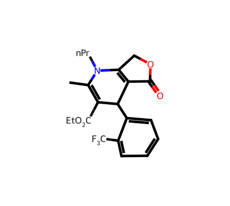 CCCN1C(C)=C(C(=O)OCC)C(c2ccccc2C(F)(F)F)C2=C1COC2=O